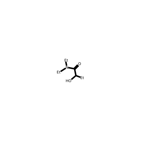 CCC(O)C(=O)N(CC)CC